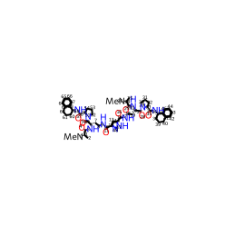 CN[C@@H](C)C(=O)N[C@@H](CCNC(=O)c1cc(C(=O)NCC[C@H](NC(=O)[C@H](C)NC)C(=O)N2CCC[C@H]2C(=O)N[C@@H]2CCCc3ccccc32)[nH]n1)C(=O)N1CCC[C@H]1C(=O)N[C@@H]1CCCc2ccccc21